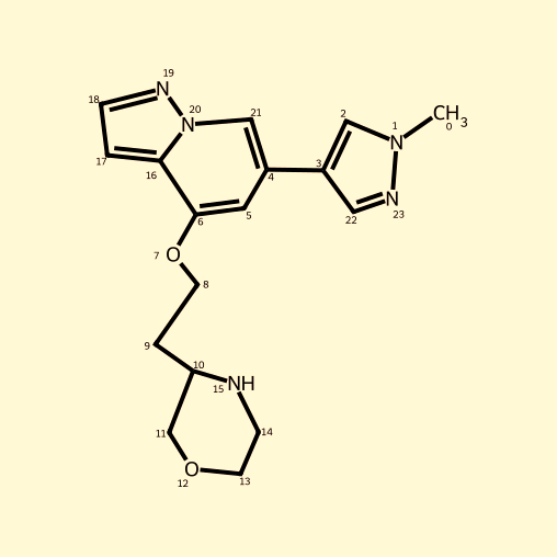 Cn1cc(-c2cc(OCCC3COCCN3)c3ccnn3c2)cn1